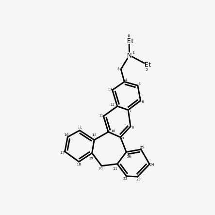 CCN(CC)Cc1ccc2cc3c(cc2c1)-c1ccccc1Cc1ccccc1-3